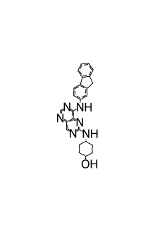 O[C@H]1CC[C@H](Nc2ncc3ncnc(Nc4ccc5c(c4)Cc4ccccc4-5)c3n2)CC1